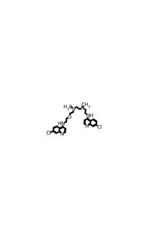 CN(CCNc1ccnc2cc(Cl)ccc12)CCN(C)CCOCCNc1ccnc2cc(Cl)ccc12